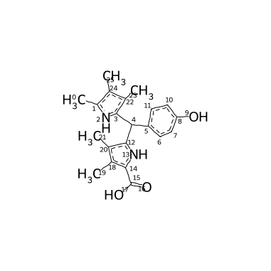 Cc1[nH]c(C(c2ccc(O)cc2)c2[nH]c(C(=O)O)c(C)c2C)c(C)c1C